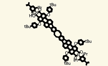 C=C(C)c1cc(C(C)C)c(N2C(=O)c3cc(Oc4ccc(C(C)(C)C)cc4)c4c5ccc6c7c(ccc(c8c(Oc9ccc(C(C)(C)C)cc9)cc(c3c48)C2=O)c75)-c2cc3c(cc2-6)/C=C\c2cc4c(cc2CC3)-c2ccc3c5c(Oc6ccc(C(C)(C)C)cc6)cc6c7c(cc(Oc8ccc(C(C)(C)C)cc8)c(c8ccc-4c2c83)c75)C(=O)N(c2c(C(C)C)cc(C(=C)C)cc2C(C)C)[C@H]6O)c(C(C)C)c1